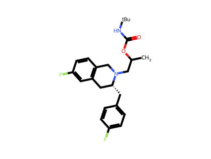 CC(CN1Cc2ccc(F)cc2C[C@H]1Cc1ccc(F)cc1)OC(=O)NC(C)(C)C